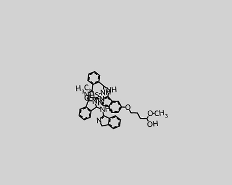 COC(O)CCCOc1ccc2c3n4c(c2c1)NC1N[SH]42(C(Cl)=N3)N3C(=N[C@@]2(C)c2ccccc21)c1ccccc1C3NC1=NCc2ccccc21